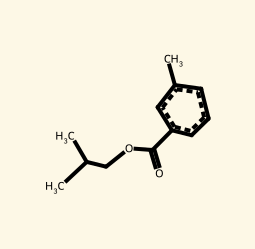 Cc1cccc(C(=O)OCC(C)C)c1